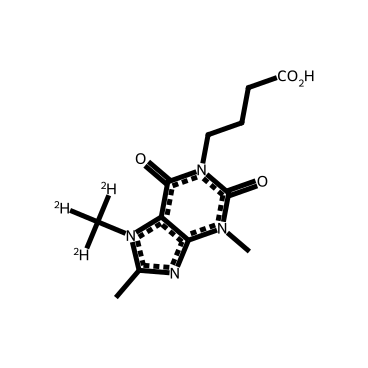 [2H]C([2H])([2H])n1c(C)nc2c1c(=O)n(CCCC(=O)O)c(=O)n2C